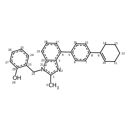 Cc1nc2c(-c3ccc(C4=CCCCC4)cc3)cccc2n1Cc1ccccc1O